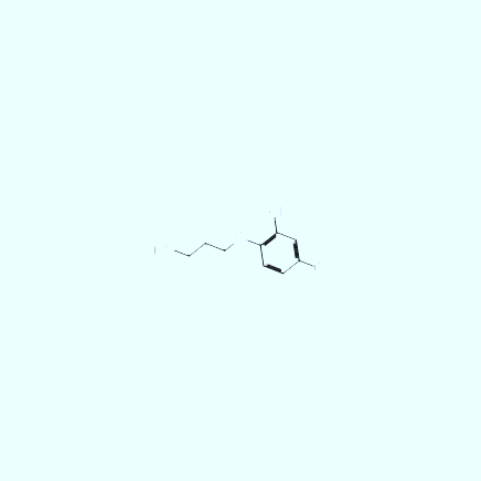 Cc1cc(Cl)ccc1OCCCC(C)C